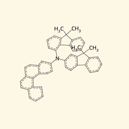 CC1(C)c2ccccc2-c2ccc(N(c3ccc4c(ccc5ccc6ccccc6c54)c3)c3cccc4c3-c3ccccc3C4(C)C)cc21